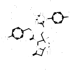 C[C@]1(CSc2nnnn2-c2ccc(Cl)cc2)[C@H](C(=O)OCc2ccc([N+](=O)[O-])cc2)N2C(=O)C[C@@H]2S1(=O)=O